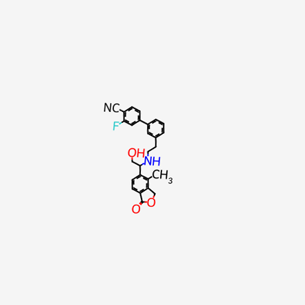 Cc1c(C(CO)NCCc2cccc(-c3ccc(C#N)c(F)c3)c2)ccc2c1COC2=O